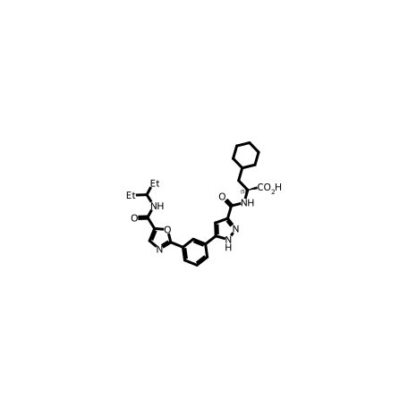 CCC(CC)NC(=O)c1cnc(-c2cccc(-c3cc(C(=O)N[C@@H](CC4CCCCC4)C(=O)O)n[nH]3)c2)o1